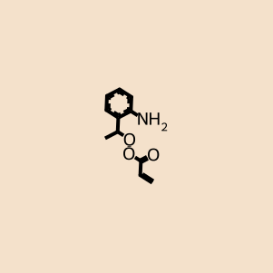 C=CC(=O)OOC(C)c1ccccc1N